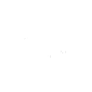 CC(C)c1ccc(CN)c(S)c1